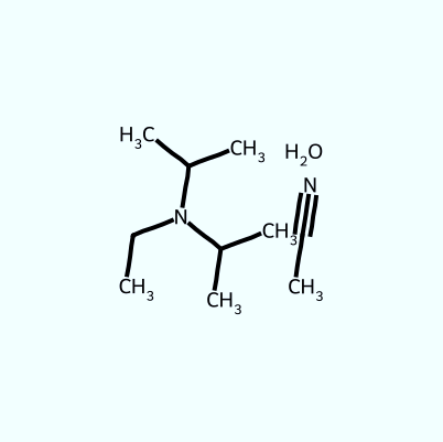 CC#N.CCN(C(C)C)C(C)C.O